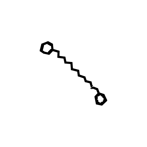 C1=CCC=C(CCCCCCCCCCCSCc2ccccc2)C=C1